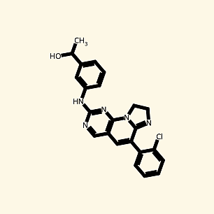 CC(O)c1cccc(Nc2ncc3c(n2)N2CCN=C2C(c2ccccc2Cl)=C3)c1